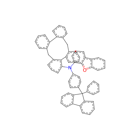 c1ccc(C2(c3ccc(N(c4cccc5c4-c4ccccc4Cc4ccccc4-c4ccccc4C5)c4cccc5c4oc4ccccc45)cc3)c3ccccc3-c3ccccc32)cc1